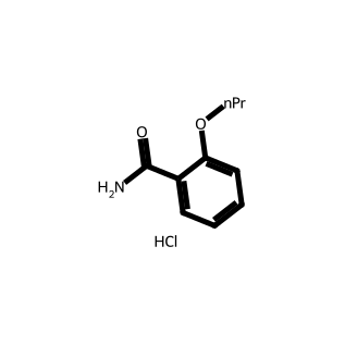 CCCOc1ccccc1C(N)=O.Cl